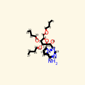 CCCCOC[C@H]1O[C@@](C(C)=O)(c2ccc3c(N)ncnn23)[C@H](OCCCC)[C@@H]1OCCCC